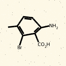 Cc1ccc(N)c(C(=O)O)c1Br